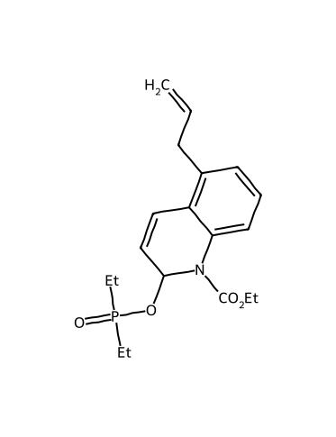 C=CCc1cccc2c1C=CC(OP(=O)(CC)CC)N2C(=O)OCC